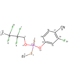 CCSP(=S)(OCC(F)(F)C(F)(F)C(F)(F)F)Oc1ccc(C#N)c(F)c1